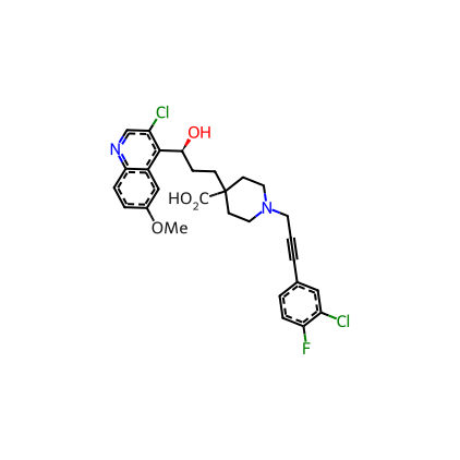 COc1ccc2ncc(Cl)c([C@@H](O)CCC3(C(=O)O)CCN(CC#Cc4ccc(F)c(Cl)c4)CC3)c2c1